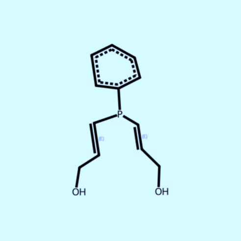 OC/C=C/P(/C=C/CO)c1ccccc1